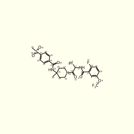 CC(C)C(NC(=O)c1cc(OC(F)(F)F)ccc1F)C(=O)N1CCC(C)(NC(=O)c2ccc(S(C)(=O)=O)cc2)CC1